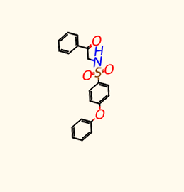 O=C(CNS(=O)(=O)c1ccc(Oc2ccccc2)cc1)c1ccccc1